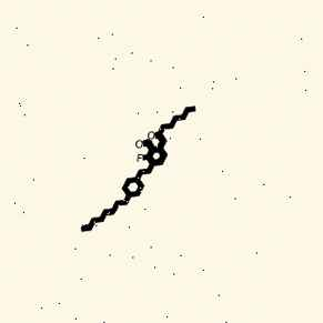 C=CCC/C=C/CCC1CCC(CCc2ccc3cc(CCCCCC)oc(=O)c3c2F)CC1